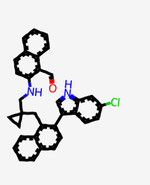 O=Cc1c(NCC2(Cc3c(-c4c[nH]c5cc(Cl)ccc45)ccc4ccccc34)CC2)ccc2ccccc12